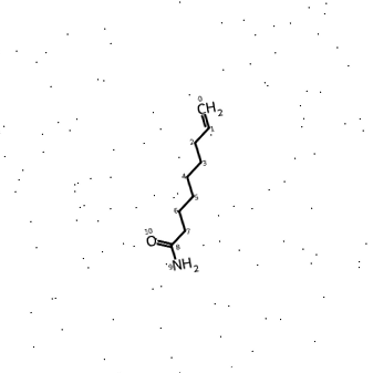 C=CCCCCCCC(N)=O